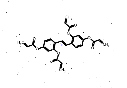 C=CC(=O)Oc1ccc(/C=C/c2ccc(OC(=O)C=C)cc2OC(=O)C=C)c(OC(=O)C=C)c1